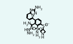 NN/N=C(\N)c1c(-c2cccc3nc(N)nn23)ccc([S+]([O-])C2CNC2)c1S(N)(=O)=O